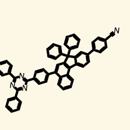 N#Cc1ccc(-c2ccc3c(c2)C(c2ccccc2)(c2ccccc2)c2cc(-c4ccc(-c5nc(-c6ccccc6)nc(-c6ccccc6)n5)cc4)c4ccccc4c2-3)cc1